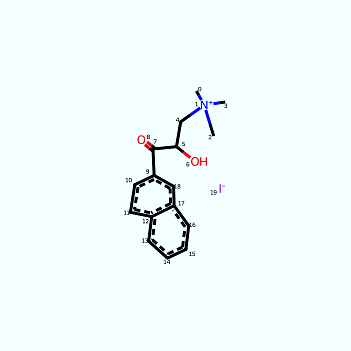 C[N+](C)(C)CC(O)C(=O)c1ccc2ccccc2c1.[I-]